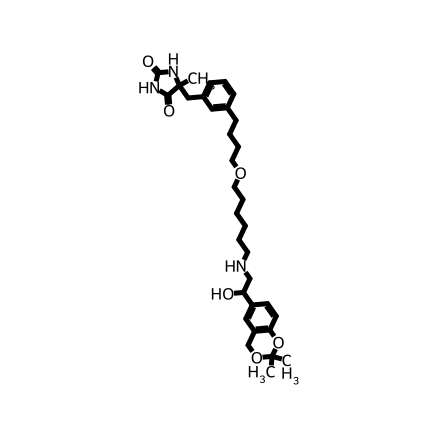 CC1(C)OCc2cc(C(O)CNCCCCCCOCCCCc3cccc(CC4(C)NC(=O)NC4=O)c3)ccc2O1